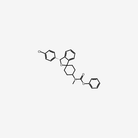 CN(C(=O)Oc1ccccc1)C1CCC2(CC1)O[C@H](c1ccc(Cl)cc1)c1ccccc12